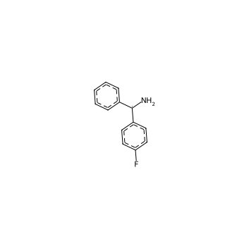 N[C](c1ccccc1)c1ccc(F)cc1